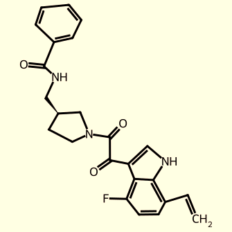 C=Cc1ccc(F)c2c(C(=O)C(=O)N3CC[C@@H](CNC(=O)c4ccccc4)C3)c[nH]c12